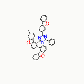 CC1C=Cc2c(oc3ccc(-c4cccc5oc6ccccc6c45)c(-c4nc(-c5ccccc5)nc(-c5ccc6c(c5)oc5ccccc56)n4)c23)C1